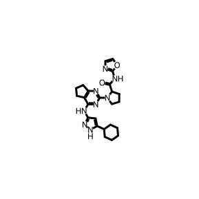 O=C(Nc1ncco1)C1CCCN1c1nc2c(c(Nc3cc(C4CCCCC4)[nH]n3)n1)CCC2